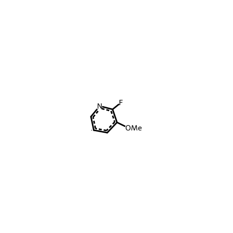 COc1c[c]cnc1F